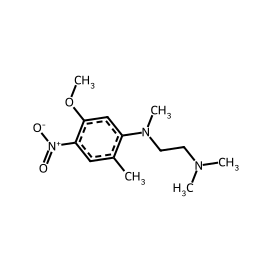 COc1cc(N(C)CCN(C)C)c(C)cc1[N+](=O)[O-]